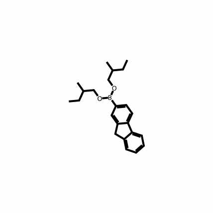 CCC(C)COB(OCC(C)CC)c1ccc2c(c1)Cc1ccccc1-2